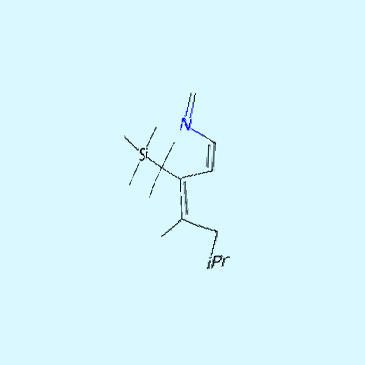 C=N/C=C\C(=C(\C)CC(C)C)C(C)(C)[Si](C)(C)C